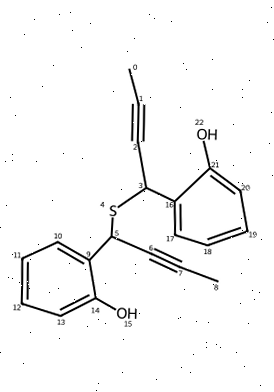 CC#CC(SC(C#CC)c1ccccc1O)c1ccccc1O